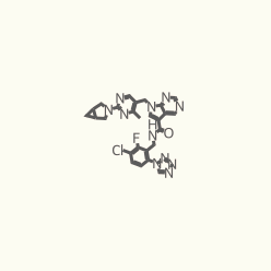 Cc1nc(N2CC3CC3C2)ncc1Cn1cc(C(=O)NCc2c(-n3cnnn3)ccc(Cl)c2F)c2cncnc21